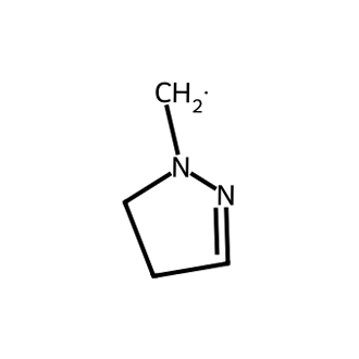 [CH2]N1CCC=N1